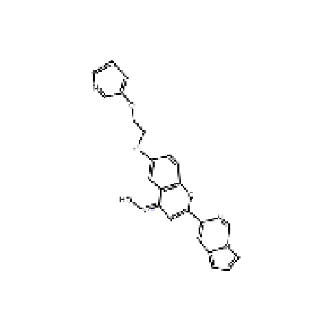 O/N=c1/cc(-c2cc3cccn3cn2)oc2ccc(OCCOc3cccnc3)cc12